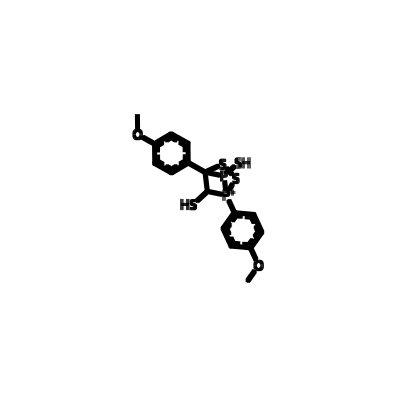 COc1ccc(C23SS[P+](c4ccc(OC)cc4)(C2S)P3S)cc1